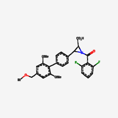 CCOCc1cc(OC)c(-c2ccc(C3C(C(=O)O)N3C(=O)c3c(F)cccc3F)cc2)c(OC)c1